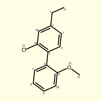 CCc1ccc(-c2ccccc2OC)c(Cl)c1